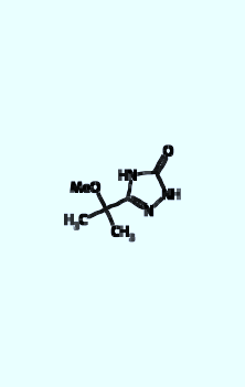 COC(C)(C)c1n[nH]c(=O)[nH]1